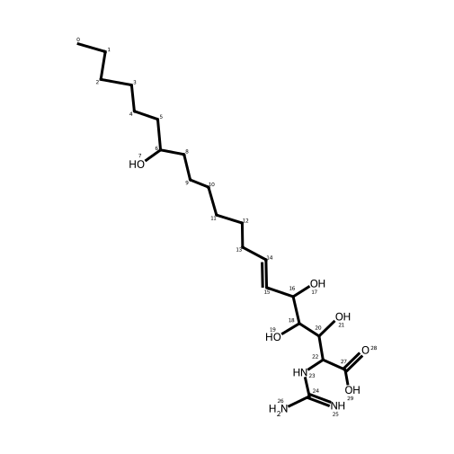 CCCCCCC(O)CCCCCC/C=C/C(O)C(O)C(O)C(NC(=N)N)C(=O)O